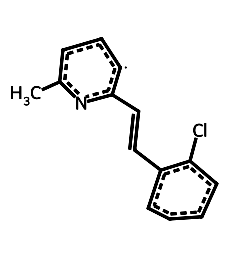 Cc1cc[c]c(C=Cc2ccccc2Cl)n1